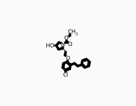 CCOC(=O)N1C[C@H](O)C[C@H]1CCOc1ccc(Cl)cc1CCc1ccccc1